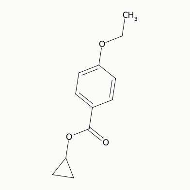 CCOc1ccc(C(=O)OC2CC2)cc1